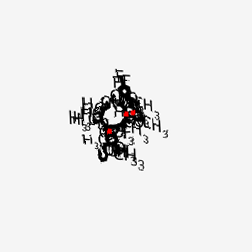 CCC1OC(=O)C(C)C(O[C@H]2C[C@@](C)(OC)[C@](O)(CN3CCCCC3)[C@H](C)O2)C(C)C(O[C@@H]2O[C@H](C)C[C@H](N(C)S(=O)(=O)Nc3ccc(C(F)(F)F)cc3)[C@H]2O)C(C)(O)CC(C)CN(CC)C(C)C(O)C1(C)O